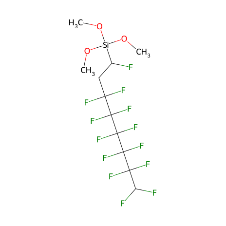 CO[Si](OC)(OC)C(F)CC(F)(F)C(F)(F)C(F)(F)C(F)(F)C(F)(F)C(F)F